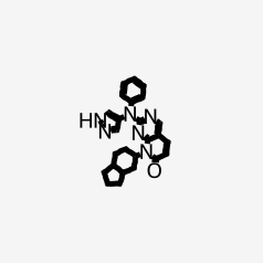 O=c1ccc2cnc(N(c3ccccc3)c3cn[nH]c3)nc2n1C1CCC2CCCC2C1